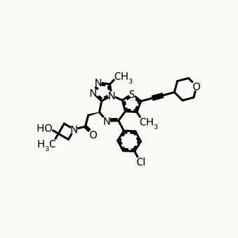 Cc1c(C#CC2CCOCC2)sc2c1C(c1ccc(Cl)cc1)=N[C@@H](CC(=O)N1CC(C)(O)C1)c1nnc(C)n1-2